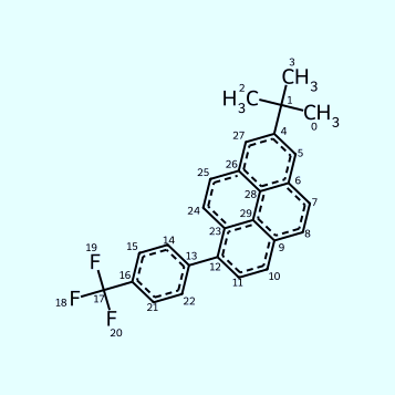 CC(C)(C)c1cc2ccc3ccc(-c4ccc(C(F)(F)F)cc4)c4ccc(c1)c2c34